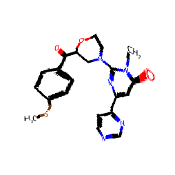 CSc1ccc(C(=O)C2CN(c3nc(-c4ccncn4)cc(=O)n3C)CCO2)cc1